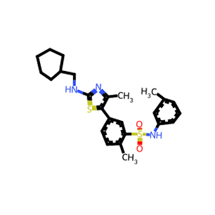 Cc1cccc(NS(=O)(=O)c2cc(-c3sc(NCC4CCCCC4)nc3C)ccc2C)c1